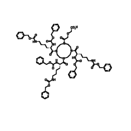 O=C(O)COCC(=O)N1CCN(C(=O)[C@H](CCCCNC(=O)OCc2ccccc2)NC(=O)OCc2ccccc2)CCN(C(=O)[C@H](CCCCNC(=O)OCc2ccccc2)NC(=O)OCc2ccccc2)CCN(C(=O)[C@H](CCCCNC(=O)OCc2ccccc2)NC(=O)OCc2ccccc2)CC1